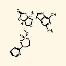 C[C@@]12OC(=O)O[C@@H]1[C@@H](CO[P@@]1(=O)OCC[C@@H](c3ccccn3)O1)O[C@H]2n1cnc2c(O)nc(N)nc21